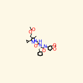 CC(=O)OCCc1c(C2CC2)nn(CC(=O)N[C@@H](Cc2ccccc2)C(=O)N(C)c2ccc3c(c2)OCO3)c1C